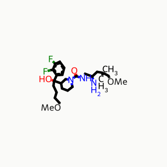 COCCCCC(O)(c1cccc(F)c1F)C1CCCN(C(=O)NCC(N)CC(C)(C)COC)C1